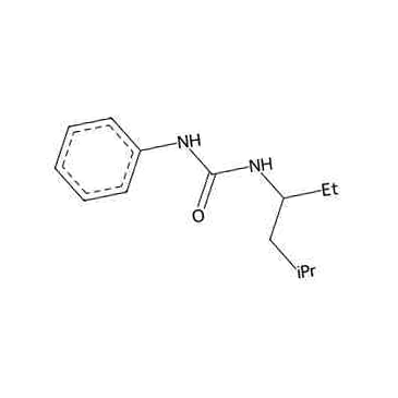 CCC(CC(C)C)NC(=O)Nc1ccccc1